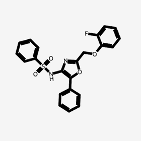 O=S(=O)(Nc1nc(COc2ccccc2F)oc1-c1ccccc1)c1ccccc1